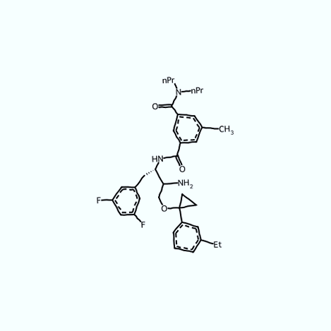 CCCN(CCC)C(=O)c1cc(C)cc(C(=O)N[C@@H](Cc2cc(F)cc(F)c2)C(N)COC2(c3cccc(CC)c3)CC2)c1